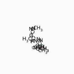 COc1cc2ncnc(Nc3ccc(Oc4ccc5c(c4)ncn5C)c(C)c3F)c2cc1OC1CC2CCC(C1)N2C(=O)OC(C)(C)C